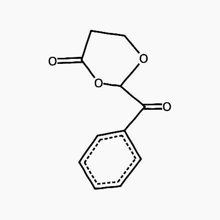 O=C1CCOC(C(=O)c2ccccc2)O1